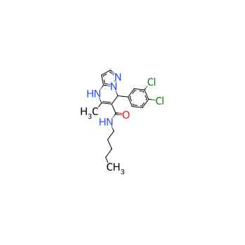 CCCCCNC(=O)C1=C(C)Nc2ccnn2C1c1ccc(Cl)c(Cl)c1